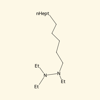 CCCCCCCCCCCCN(CC)N(CC)CC